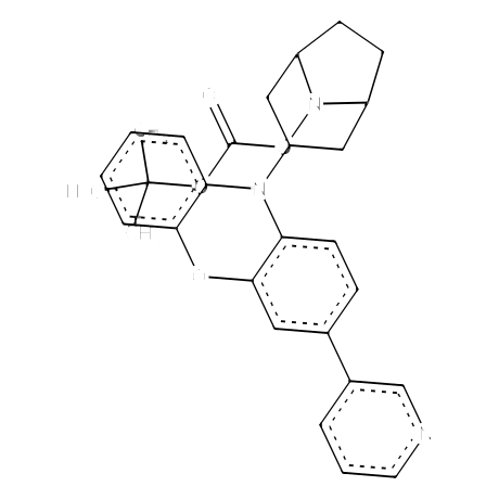 CC(C)(C)OC(=O)ON1C2CCC1CC(N1c3ccccc3Oc3cc(-c4cccnc4)ccc31)C2